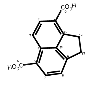 O=C(O)c1ccc2c(C(=O)O)ccc3c2c1CC3